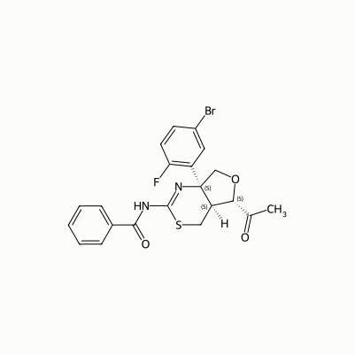 CC(=O)[C@H]1OC[C@]2(c3cc(Br)ccc3F)N=C(NC(=O)c3ccccc3)SC[C@H]12